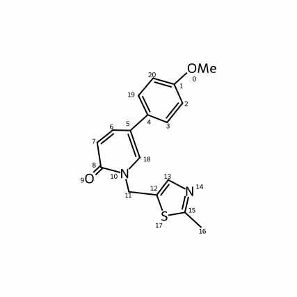 COc1ccc(-c2ccc(=O)n(Cc3cnc(C)s3)c2)cc1